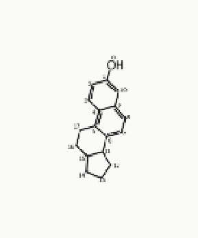 Oc1ccc2c3c(ccc2c1)C1CCCC1CC3